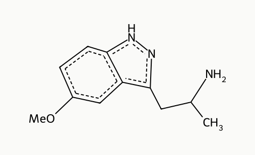 COc1ccc2[nH]nc(CC(C)N)c2c1